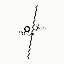 CCCCCCCCCCCCC(CCCCCCCCCC)CC(=O)O.Oc1ccccc1O